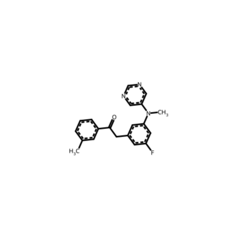 Cc1cccc(C(=O)Cc2cc(F)cc(N(C)c3cncnc3)c2)c1